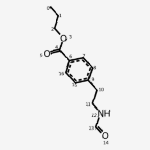 CCCOC(=O)c1ccc(CCN[C]=O)cc1